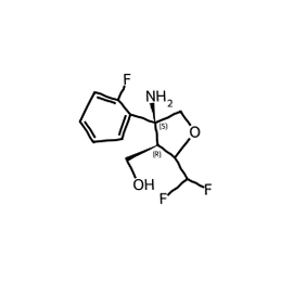 N[C@@]1(c2ccccc2F)COC(C(F)F)[C@H]1CO